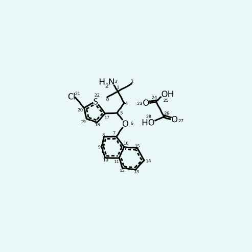 CC(C)(N)CC(Oc1cccc2ccccc12)c1ccc(Cl)s1.O=C(O)C(=O)O